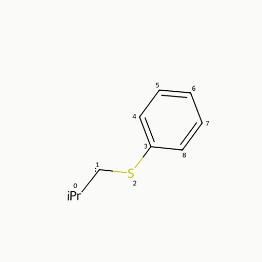 CC(C)[C]Sc1ccccc1